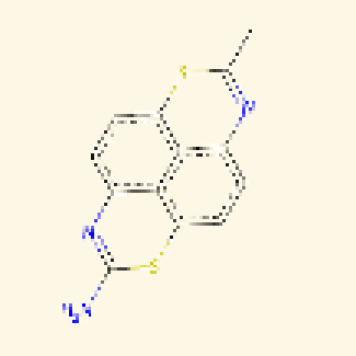 CC1=Nc2ccc3c4c(ccc(c24)S1)N=C(N)S3